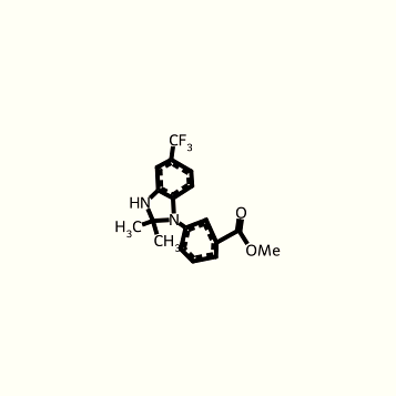 COC(=O)c1cccc(N2c3ccc(C(F)(F)F)cc3NC2(C)C)c1